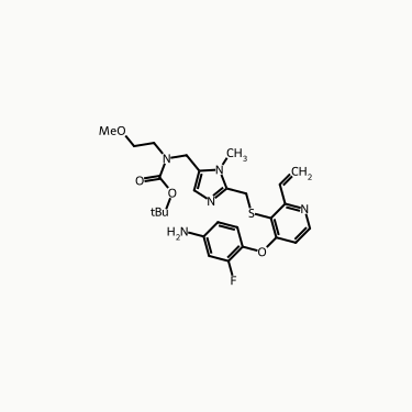 C=Cc1nccc(Oc2ccc(N)cc2F)c1SCc1ncc(CN(CCOC)C(=O)OC(C)(C)C)n1C